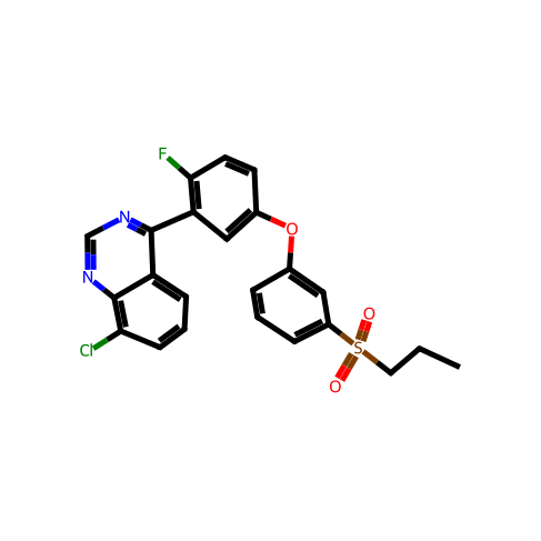 CCCS(=O)(=O)c1cccc(Oc2ccc(F)c(-c3ncnc4c(Cl)cccc34)c2)c1